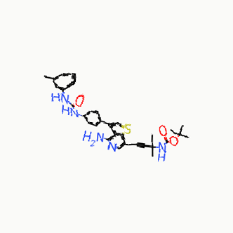 Cc1cccc(NC(=O)Nc2ccc(-c3csc4c(C#CC(C)(C)NC(=O)OC(C)(C)C)cnc(N)c34)cc2)c1